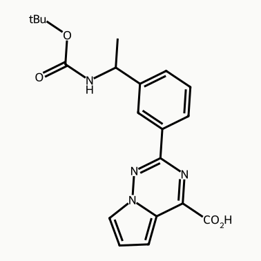 CC(NC(=O)OC(C)(C)C)c1cccc(-c2nc(C(=O)O)c3cccn3n2)c1